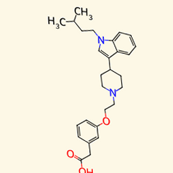 CC(C)CCn1cc(C2CCN(CCOc3cccc(CC(=O)O)c3)CC2)c2ccccc21